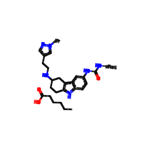 CCCCCC(=O)O.CCCCCNC(=O)Nc1ccc2[nH]c3c(c2c1)CC(NCCc1cnn(C(C)C)c1)CC3